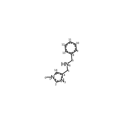 Cn1cnc(CNCc2ccccc2)c1